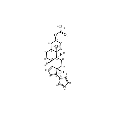 CC(=O)O[C@H]1CC[C@@]2(C)C(CC[C@H]3C4=CC=C(n5ccnn5)[C@@]4(C)CC[C@@H]32)C1